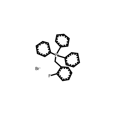 Fc1ccccc1C[P+](c1ccccc1)(c1ccccc1)c1ccccc1.[Br-]